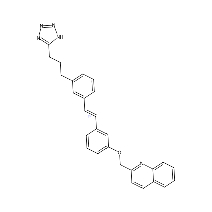 C(=C\c1cccc(OCc2ccc3ccccc3n2)c1)/c1cccc(CCCc2nnn[nH]2)c1